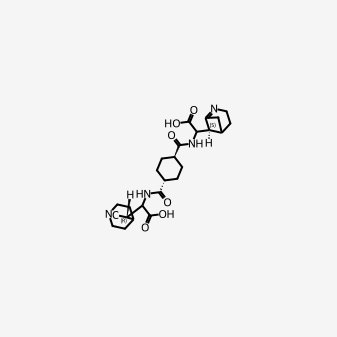 O=C(O)C(NC(=O)[C@H]1CC[C@H](C(=O)NC(C(=O)O)[C@H]2C3=NCCC2C3)CC1)[C@H]1CN2CCC1CC2